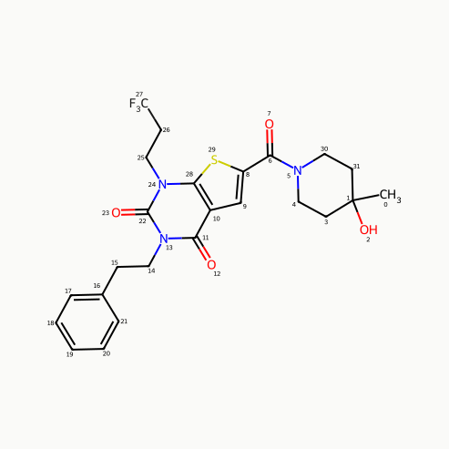 CC1(O)CCN(C(=O)c2cc3c(=O)n(CCc4ccccc4)c(=O)n(CCC(F)(F)F)c3s2)CC1